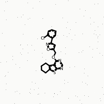 Clc1ccccc1-c1cc(COc2ncnc3sc4c(c23)CCCC4)on1